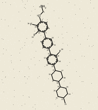 BCOc1ccc(-c2ccc(-c3ccc(C4CCC(C5CCC(C)CC5)CC4)cc3F)cc2)c(F)c1F